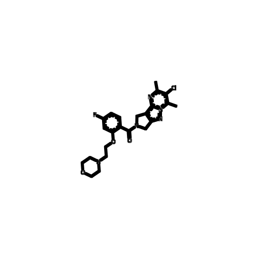 Cc1nc2c3c(nn2c(C)c1Cl)CN(C(=O)c1ccc(F)cc1OCCN1CCOCC1)C3